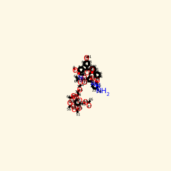 COc1ccc(C(OC(C(=O)c2ccccc2)[C@H]2O[C@@H](n3ccc(N)nc3=O)C[C@@H]2OP(=O)(OCCOCCO[C@@H]2O[C@H](COC(C)=O)[C@H](OC(C)=O)[C@H](OC(C)=O)[C@H]2OC(C)=O)N(C(C)C)C(C)C)(c2ccccc2)c2ccc(OC)cc2)cc1